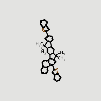 CC1(C)C2=CC3c4c(cc(-c5cc6ccccc6s5)c5c4ccc4ccccc45)C(C)(C)C3C=C2c2ccc(-c3cc4ccccc4s3)cc21